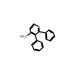 O=C(O)c1ccnc(-c2ccccc2)c1-c1ccccc1